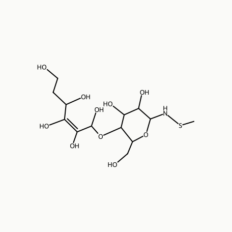 CSNC1OC(CO)C(OC(O)/C(O)=C(/O)C(O)CCO)C(O)C1O